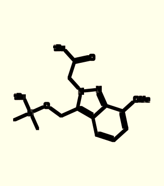 COc1cccc2c(CO[Si](C)(C)C(C)(C)C)n(CC(=O)C(C)(C)C)nc12